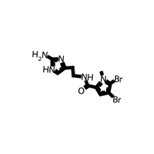 Cn1c(C(=O)NCCc2c[nH]c(N)n2)cc(Br)c1Br